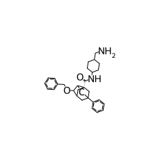 NCC1CCC(NC(=O)[C@]23CC4CC(c5ccccc5)(CC2C4OCc2ccccc2)C3)CC1